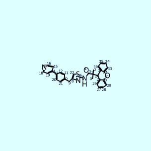 CC(C)(C(=O)Nc1nc(Cc2ccc(-c3ccncc3)cc2)cs1)C1c2ccccc2Oc2ccccc21